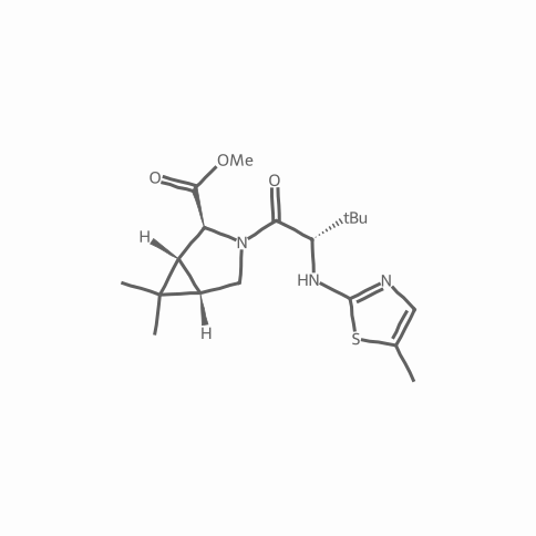 COC(=O)[C@@H]1[C@@H]2[C@H](CN1C(=O)[C@@H](Nc1ncc(C)s1)C(C)(C)C)C2(C)C